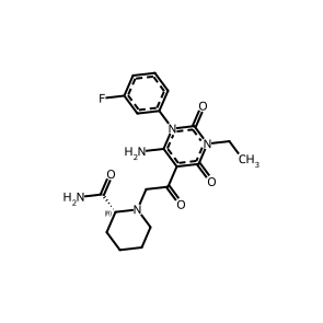 CCn1c(=O)c(C(=O)CN2CCCC[C@@H]2C(N)=O)c(N)n(-c2cccc(F)c2)c1=O